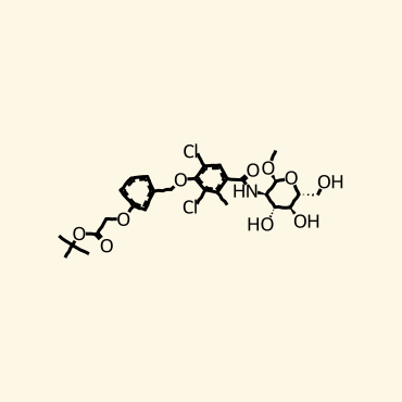 CO[C@H]1O[C@H](CO)[C@@H](O)[C@H](O)[C@H]1NC(=O)c1cc(Cl)c(OCc2cccc(OCC(=O)OC(C)(C)C)c2)c(Cl)c1C